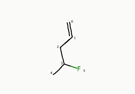 C=CCC(C)F